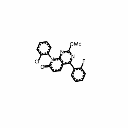 COc1nc(-c2ccccc2F)c2ccc(=O)n(-c3ccccc3Cl)c2n1